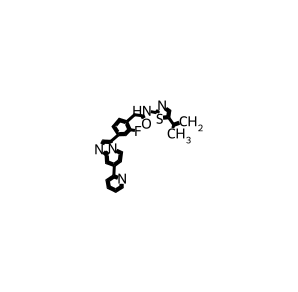 C=C(C)c1cnc(NC(=O)Cc2ccc(-c3cnc4cc(-c5ccccn5)ccn34)cc2F)s1